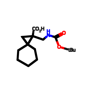 CC(C)(C)OC(=O)NCC1(C(=O)O)CC12CCCCC2